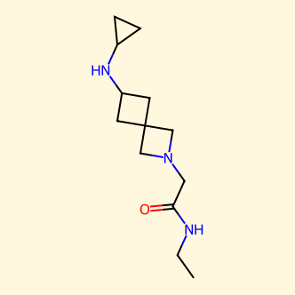 CCNC(=O)CN1CC2(CC(NC3CC3)C2)C1